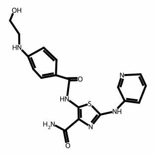 NC(=O)c1nc(Nc2cccnc2)sc1NC(=O)c1ccc(NCCO)cc1